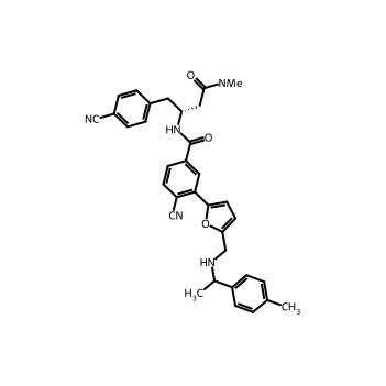 CNC(=O)C[C@@H](Cc1ccc(C#N)cc1)NC(=O)c1ccc(C#N)c(-c2ccc(CNC(C)c3ccc(C)cc3)o2)c1